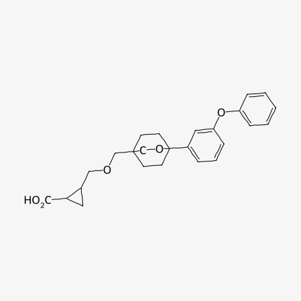 O=C(O)C1CC1COCC12CCC(c3cccc(Oc4ccccc4)c3)(CC1)OC2